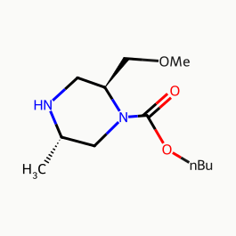 CCCCOC(=O)N1C[C@H](C)NC[C@H]1COC